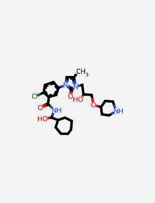 Cc1cn(-c2ccc(Cl)c(C(=O)NC(O)C3CCCCCC3)c2)c(=O)n1CC(O)COC1CCNCC1